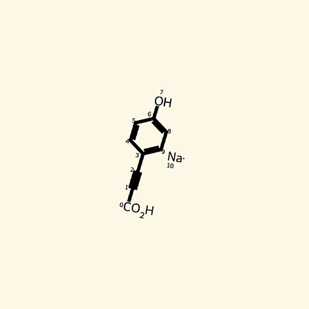 O=C(O)C#Cc1ccc(O)cc1.[Na]